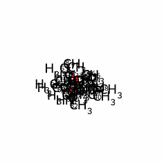 C/C=c1/cc(C(C)(C)C)cc/c1=C(/Nc1c(C)cc(C)cc1C1=c2ccc3c(c2=CCN1CN/C(=C\C(=C/C)C(C)(C)C)c1ccccc1C)=CC(C)NC=3C)c1cc(C(C)(C)C)ccc1C